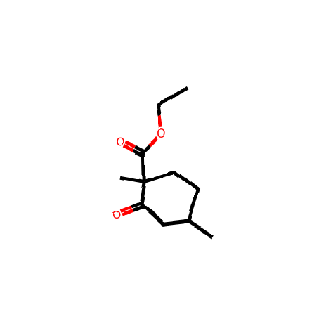 CCOC(=O)C1(C)CCC(C)CC1=O